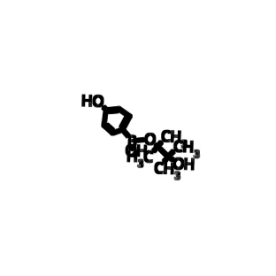 CC(C)(O)C(C)(C)OB(O)c1ccc(O)cc1